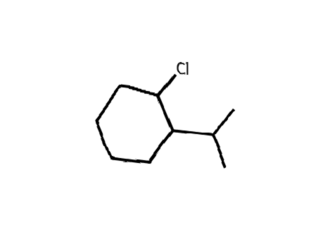 CC(C)C1CCCCC1Cl